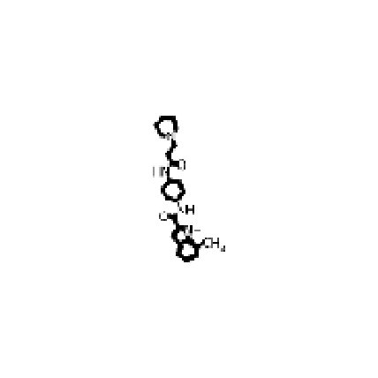 Cc1cccc2cc(C(=O)N[C@H]3CC[C@H](NC(=O)CCN4CCCCC4)CC3)[nH]c12